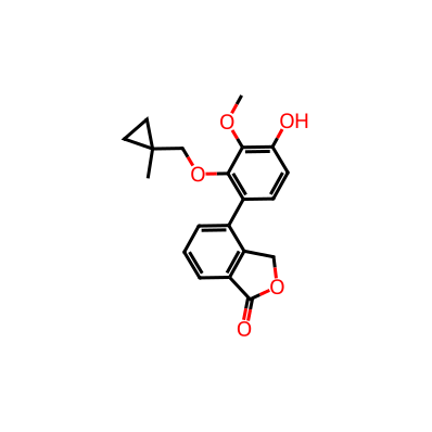 COc1c(O)ccc(-c2cccc3c2COC3=O)c1OCC1(C)CC1